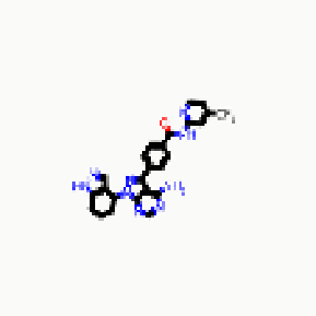 Nc1ncnc2c1c(-c1ccc(C(=O)Nc3cc(C(F)(F)F)ccn3)cc1)nn2C1CCCc2[nH]ncc21